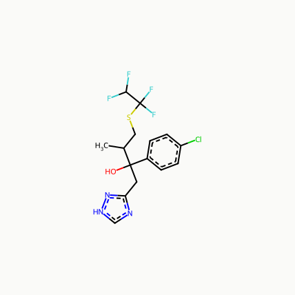 CC(CSC(F)(F)C(F)F)C(O)(Cc1nc[nH]n1)c1ccc(Cl)cc1